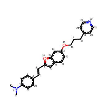 CN(C)c1ccc(/C=C/c2cc3ccc(OCCCc4ccncc4)cc3o2)cc1